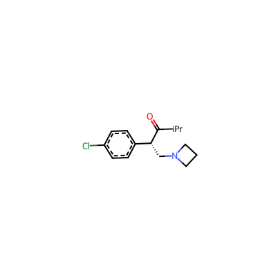 CC(C)C(=O)[C@H](CN1CCC1)c1ccc(Cl)cc1